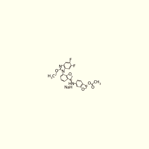 CCOc1nc2cc(F)c(F)cc2n1-c1cccc2c1OC[C@H]2Nc1ccc2c(c1)OC[C@H]2OC(C)=O.[NaH]